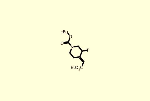 CCOC(=O)/C=C1\CCN(C(=O)OC(C)(C)C)CC1F